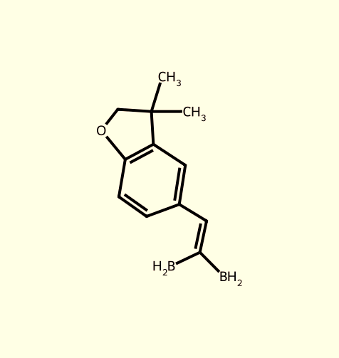 BC(B)=Cc1ccc2c(c1)C(C)(C)CO2